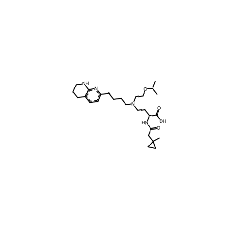 CC(C)OCCN(CCCCc1ccc2c(n1)NCCC2)CCC(NC(=O)CC1(C)CC1)C(=O)O